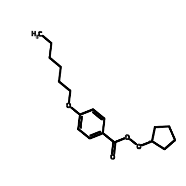 CCCCCCOc1ccc(C(=O)OO[C]2CCCC2)cc1